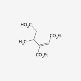 CCOC(=O)C=C(C(=O)OCC)C(C)CC(=O)O